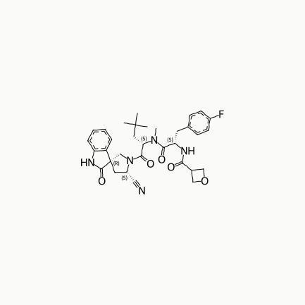 CN(C(=O)[C@H](Cc1ccc(F)cc1)NC(=O)C1COC1)[C@@H](CC(C)(C)C)C(=O)N1C[C@]2(C[C@H]1C#N)C(=O)Nc1ccccc12